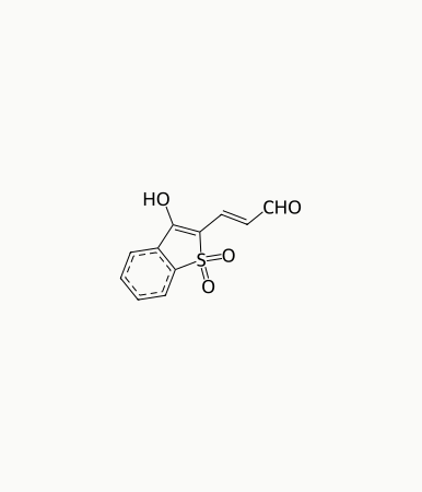 O=CC=CC1=C(O)c2ccccc2S1(=O)=O